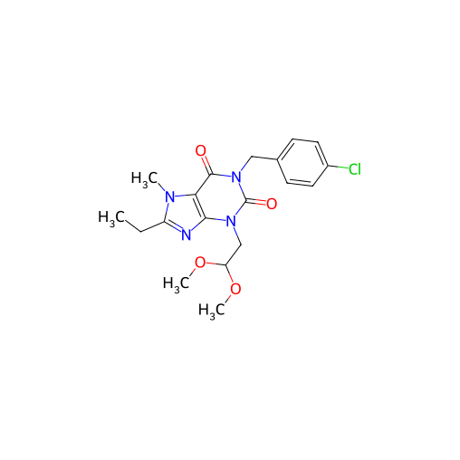 CCc1nc2c(c(=O)n(Cc3ccc(Cl)cc3)c(=O)n2CC(OC)OC)n1C